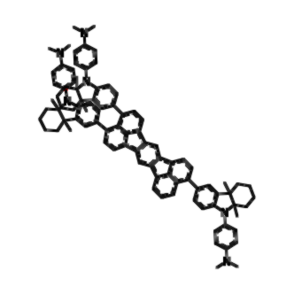 CN(C)c1ccc(N2c3ccc(-c4ccc5c6cc7c(cc6c6cccc4c65)c4ccc(-c5ccc6c(c5)C5(C)CCCCC5(C)N6c5ccc(N(C)C)cc5)c5c(-c6ccc8c(c6)C6(C)CCCCC6(C)N8c6ccc(N(C)C)cc6)ccc7c54)cc3C3(C)CCCCC23C)cc1